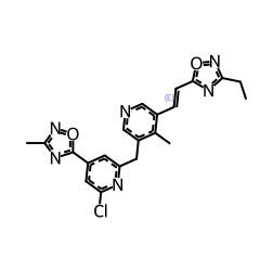 CCc1noc(/C=C/c2cncc(Cc3cc(-c4nc(C)no4)cc(Cl)n3)c2C)n1